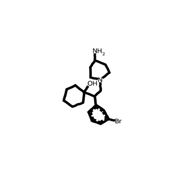 NC1CCN(CC(c2cccc(Br)c2)C2(O)CCCCC2)CC1